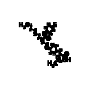 CCCCSCCN(CCOc1ccc(CC(OCC)C(=O)O)cc1)C(=O)Oc1ccc(F)cc1